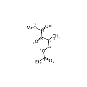 CCC(=O)OCC(C)C(=O)C(=O)OC